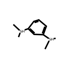 C[SiH](C)c1cccc([SiH](C)C)c1